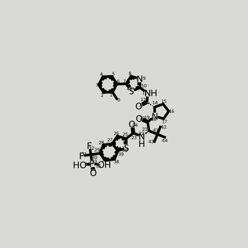 Cc1ccccc1-c1cnc(NC(=O)[C@@H]2CCCN2C(=O)[C@@H](NC(=O)c2cc3cc(C(F)(F)P(=O)(O)O)ccc3s2)C(C)(C)C)s1